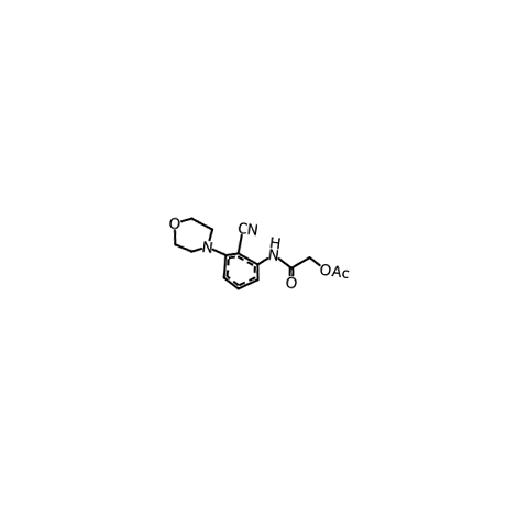 CC(=O)OCC(=O)Nc1cccc(N2CCOCC2)c1C#N